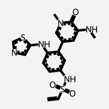 C=CS(=O)(=O)Nc1ccc(Nc2cncs2)c(-c2cc(NC)c(=O)n(C)c2)c1